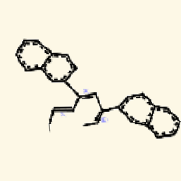 C\C=C(/C=C(\C=C\I)c1ccc2ccccc2c1)c1ccc2ccccc2c1